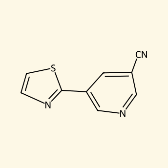 N#Cc1cncc(-c2nccs2)c1